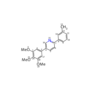 COc1cc(-c2ccc(-c3cccc(C)c3)nc2)cc(OC)c1OC